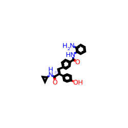 Nc1ccccc1NC(=O)c1ccc(/C=C(/C(=O)NC2CC2)c2ccc(O)cc2)cc1